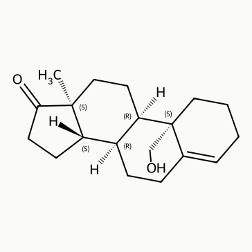 C[C@]12CC[C@@H]3[C@@H](CCC4=CCCC[C@@]43CO)[C@@H]1CCC2=O